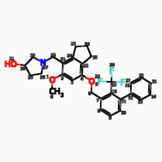 COc1cc(OCc2cccc(-c3ccccc3)c2C(F)(F)F)c2c(c1CN1CCC(O)C1)CCC2